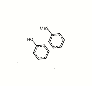 CSc1ccccc1.Oc1ccccc1